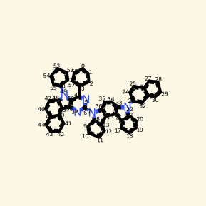 c1ccc(-c2nc(-n3c4ccccc4c4c5c6ccccc6n(-c6ccc7ccccc7c6)c5ccc43)nc3c4c5ccccc5ccc4n(-c4ccccc4)c23)cc1